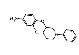 Nc1ccc(OC2CCCN(c3ccccc3)C2)c(Cl)c1